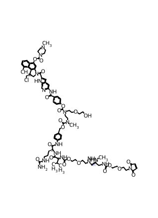 CN/C(=C\N(N)CCOCCOC(=O)N[C@H](C(=O)N[C@@H](CCCNC(N)=O)C(=O)Nc1ccc(COC(=O)N(C)CCN(CCOCCO)C(=O)Oc2ccc(C(=O)Nc3cc4cc(C(=O)N5C[C@@H](CCl)c6c5cc(OC(=O)N5CCN(C)CC5)c5cccc(C)c65)[nH]c4cn3)cc2)cc1)C(C)C)CNC(=O)OCCOCCN1C(=O)C=CC1=O